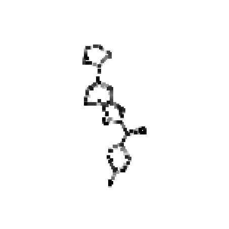 O=C(c1ccc(F)cc1)c1cc2cc(C3OCCO3)ccc2o1